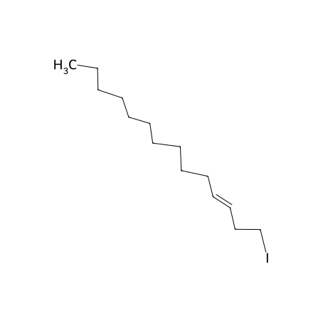 CCCCCCCCCCC=CCCI